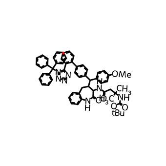 COc1ccc(C(c2ccc(-c3ccccc3-c3nnnn3C(c3ccccc3)(c3ccccc3)c3ccccc3)cc2)C2Cc3ccccc3NC(=O)C2NC(=O)CC(C)(C)NC(=O)OC(C)(C)C)cc1